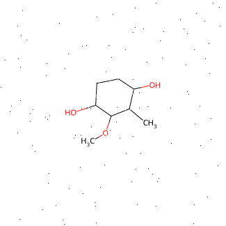 COC1C(O)CCC(O)C1C